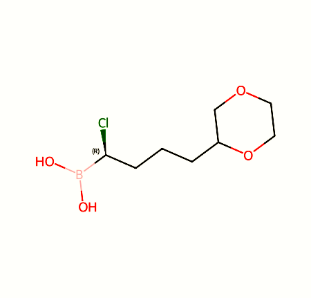 OB(O)[C@@H](Cl)CCCC1COCCO1